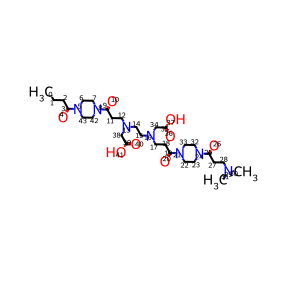 CCCC(=O)N1CCN(C(=O)CCN(CCN(CCC(=O)N2CCN(C(=O)CCN(C)C)CC2)CC(=O)O)CC(=O)O)CC1